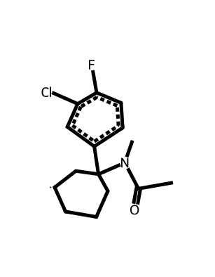 CC(=O)N(C)C1(c2ccc(F)c(Cl)c2)C[CH]CCC1